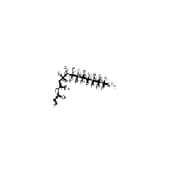 C=CC(=O)OC(F)CC(F)(F)C(F)C(F)(F)C(F)(F)C(F)(F)C(F)(F)C(F)(F)C(F)(F)C(F)(F)C(F)(F)F